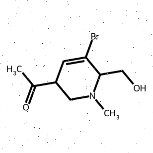 CC(=O)C1C=C(Br)C(CO)N(C)C1